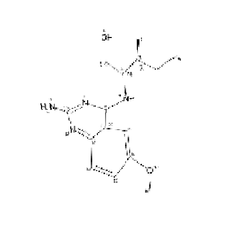 CC[C@H](C)[C@@H](CO)Nc1nc(N)nc2ccc(OC)cc12